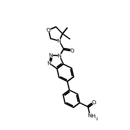 CC1(C)COCN1C(=O)n1nnc2cc(-c3cccc(C(N)=O)c3)ccc21